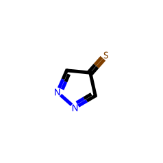 S=C1C=NN=C1